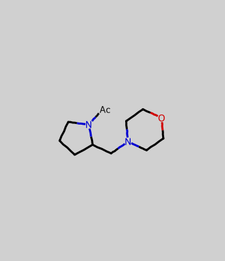 CC(=O)N1CCCC1CN1CCOCC1